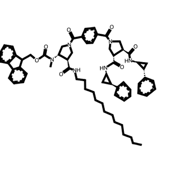 CCCCCCCCCCCCCCNC(=O)[C@@H]1CN(C(=O)c2ccc(C(=O)N3C[C@@H](C(=O)N[C@H]4C[C@@H]4c4ccccc4)[C@H](C(=O)N[C@H]4C[C@@H]4c4ccccc4)C3)cc2)C[C@H]1N(C)C(=O)OCC1c2ccccc2-c2ccccc21